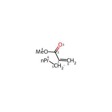 C=CC(=O)OC.[CH2]CCC